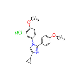 COc1ccc(-c2nc(C3CC3)cn2-c2ccc(OC)cc2)cc1.Cl